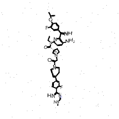 CCN(C(=O)[C@@H]1CCN(CC(=O)N2CC=C(c3ccc(C(=N)/N=C\NC)c(F)c3)CC2)C1)c1ccc(N)c(C(=N)c2ccc(OC(C)C)c(F)c2)n1